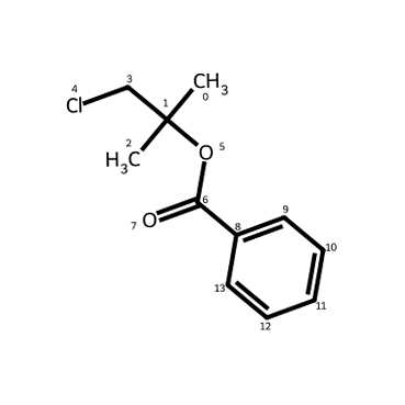 CC(C)(CCl)OC(=O)c1ccccc1